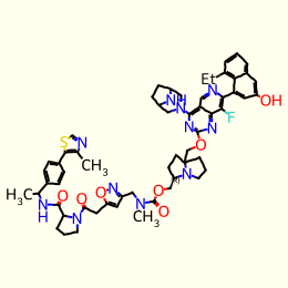 CCc1cccc2cc(O)cc(-c3ncc4c(N5CC6CCC(C5)N6)nc(OCC56CCCN5[C@@H](COC(=O)N(C)Cc5cc(CC(=O)N7CCCC7C(=O)NC(C)c7ccc(-c8scnc8C)cc7)on5)CC6)nc4c3F)c12